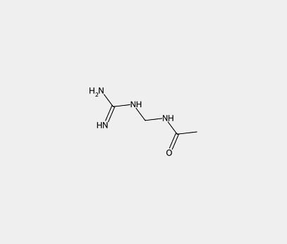 CC(=O)NCNC(=N)N